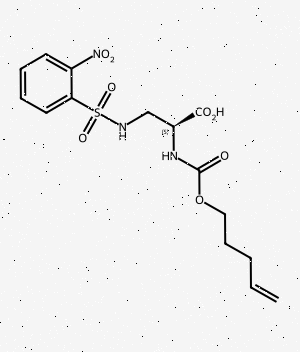 C=CCCCOC(=O)N[C@@H](CNS(=O)(=O)c1ccccc1[N+](=O)[O-])C(=O)O